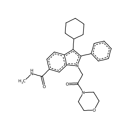 CNC(=O)c1ccc2c(C3CCCCC3)c(-c3ccccc3)n(CC(=O)N3CCOCC3)c2c1